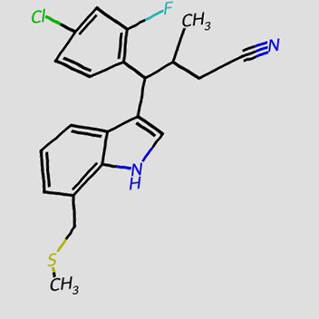 CSCc1cccc2c(C(c3ccc(Cl)cc3F)C(C)CC#N)c[nH]c12